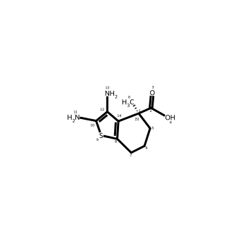 C[C@]1(C(=O)O)CCCc2sc(N)c(N)c21